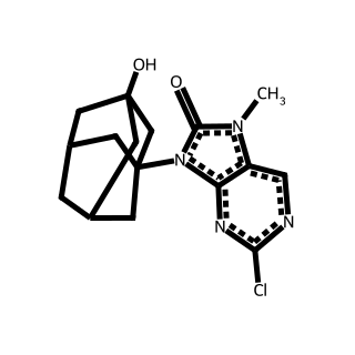 Cn1c(=O)n(C23CC4CC(CC(O)(C4)C2)C3)c2nc(Cl)ncc21